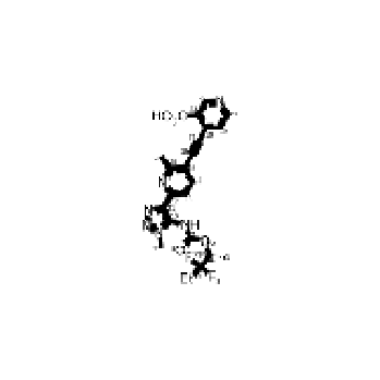 CCC(F)(F)[C@@H](C)OC(=O)Nc1c(-c2ccc(C#Cc3ccncc3C(=O)O)c(C)n2)nnn1C